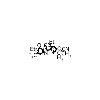 CCSc1cc(OC(C)(C)C#N)cnc1-c1nc2cc(C(F)(F)F)n(CC)c(=O)c2n1C